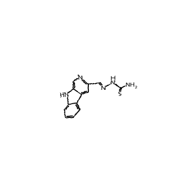 NC(=S)NN=Cc1cc2c(cn1)[nH]c1ccccc12